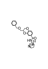 O=C(N[C@H]1CN2CCC1CC2)c1ccc2c(c1)OC(COCc1ccccc1)CO2